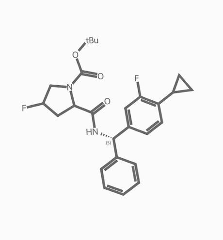 CC(C)(C)OC(=O)N1CC(F)CC1C(=O)N[C@@H](c1ccccc1)c1ccc(C2CC2)c(F)c1